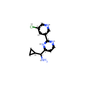 NC(c1ccnc(-c2cncc(Cl)c2)n1)C1CC1